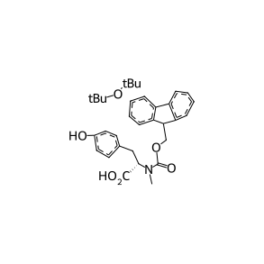 CC(C)(C)OC(C)(C)C.CN(C(=O)OCC1c2ccccc2-c2ccccc21)[C@@H](Cc1ccc(O)cc1)C(=O)O